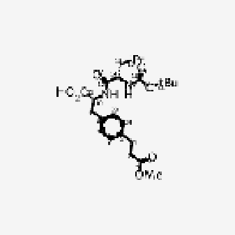 COC(=O)CCc1ccc(C[C@H](NC(=O)[C@H](CC(C)C)NC(=O)OC(C)(C)C)C(=O)O)cc1